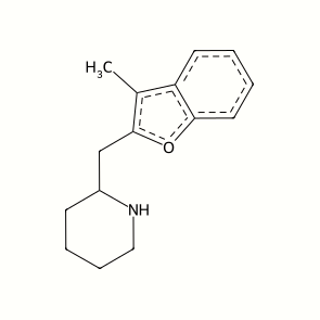 Cc1c(CC2CCCCN2)oc2ccccc12